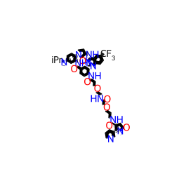 CC(C)N(C)[C@@H]1CC[C@H](N2CC[C@H](Nc3ncnc4ccc(C(F)(F)F)cc34)C2=O)[C@H](NC(=O)C2CCC(NC(=O)CCOCCNC(=O)COCCCNC(=O)[C@H]3CC(=O)N(C)[C@@H]3c3cccnc3)CC2)C1